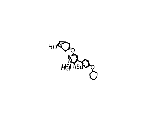 CCCCc1nnc(O[C@H]2CC3C[C@@H](O)C(C2)N3C)cc1-c1ccc(OC2CCCCC2)cc1.Cl.Cl